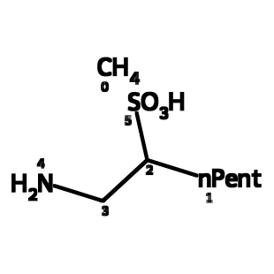 C.CCCCCC(CN)S(=O)(=O)O